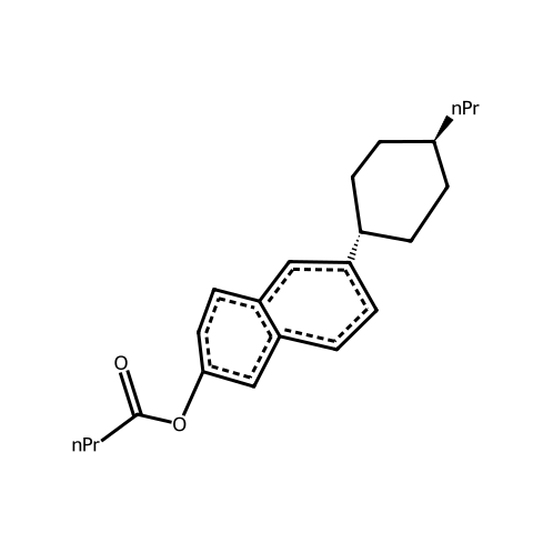 CCCC(=O)Oc1ccc2cc([C@H]3CC[C@H](CCC)CC3)ccc2c1